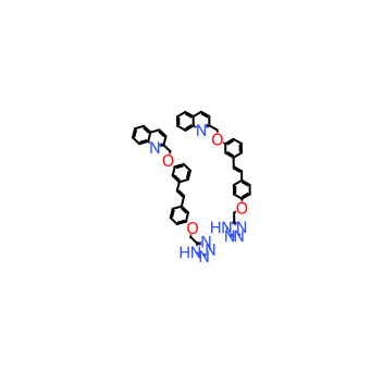 C(=C\c1cccc(OCc2ccc3ccccc3n2)c1)/c1ccc(OCc2nnn[nH]2)cc1.C(=C\c1cccc(OCc2nnn[nH]2)c1)/c1cccc(OCc2ccc3ccccc3n2)c1